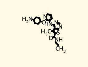 CCCNC(=O)c1sc2ncnc(Nc3cccnc3OC3CCC(N)CC3)c2c1C